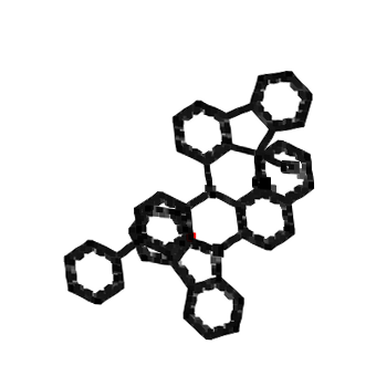 CC1(C)c2ccccc2-c2cccc(N(c3ccc(-c4ccccc4)cc3)c3c(-n4c5ccccc5c5ccccc54)ccc4ccccc34)c21